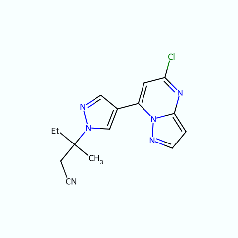 CCC(C)(CC#N)n1cc(-c2cc(Cl)nc3ccnn23)cn1